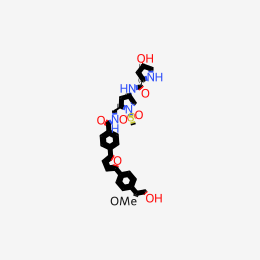 COC(CO)c1ccc(-c2ccc(-c3ccc(C(=O)NC[C@H]4C[C@@H](NC(=O)[C@@H]5C[C@H](O)CN5)CN4S(C)(=O)=O)cc3)o2)cc1